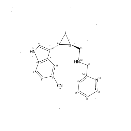 N#Cc1ccc2[nH]cc([C@@H]3C[C@H]3CNCc3ccccn3)c2c1